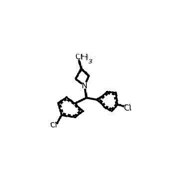 CC1CN(C(c2ccc(Cl)cc2)c2ccc(Cl)cc2)C1